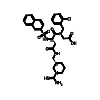 N=C(N)N1CCC[C@@H](CNC(=O)C[C@H](NS(=O)(=O)c2ccc3ccccc3c2)C(=O)N(CC(=O)O)Cc2ccccc2Cl)C1